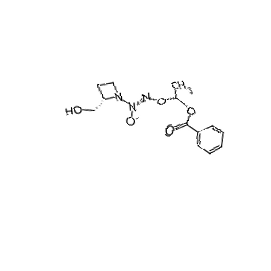 CC(ON=[N+]([O-])N1CC[C@H]1CO)OC(=O)c1ccccc1